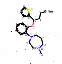 CNCC[C@@H](Oc1ccccc1N1CCCN(C)CC1)c1cccs1